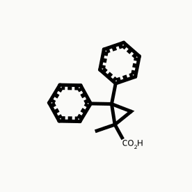 CC1(C(=O)O)CC1(c1ccccc1)c1ccccc1